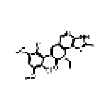 CCn1c(=O)c(-c2c(Cl)c(OC)cc(OC)c2Cl)cc2cnc3[nH]c(C)nc3c21